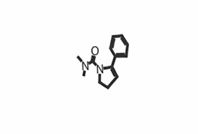 CN(C)C(=O)N1CCC=C1c1ccccc1